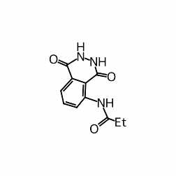 CCC(=O)Nc1cccc2c(=O)[nH][nH]c(=O)c12